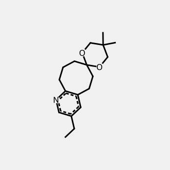 CCc1cnc2c(c1)CCC1(CCC2)OCC(C)(C)CO1